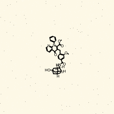 COC(=O)c1c(Cc2ccc(C(=O)N[C@@H]3[C@@H]4C[C@@H]5C[C@H]3C[C@](O)(C5)C4)cc2OC)c(=O)c2cccnc2n1-c1ccccc1